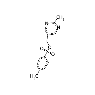 Cc1ccc(S(=O)(=O)OCc2cnc(C)nc2)cc1